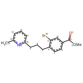 COC(=O)c1ccc(CCCc2cccc(C)n2)c(Br)c1